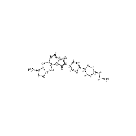 CN1CC[C@H](Nc2c(Cl)cnc3[nH]c(-c4ccc(N5CCN(CCO)CC5)cc4)nc23)C1